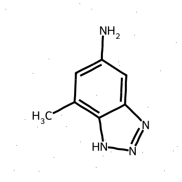 Cc1cc(N)cc2nn[nH]c12